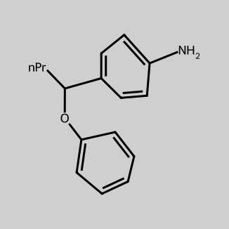 CCCC(Oc1ccccc1)c1ccc(N)cc1